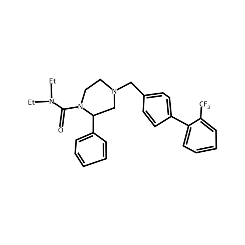 CCN(CC)C(=O)N1CCN(Cc2ccc(-c3ccccc3C(F)(F)F)cc2)CC1c1ccccc1